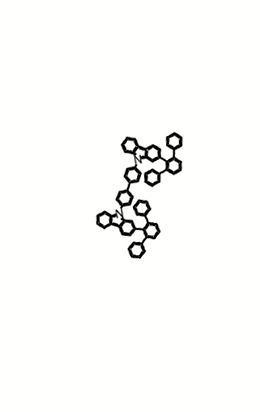 c1ccc(-c2cccc(-c3ccccc3)c2-c2ccc3c4ccccc4n(-c4ccc(-c5ccc(-n6c7ccccc7c7ccc(-c8c(-c9ccccc9)cccc8-c8ccccc8)cc76)cc5)cc4)c3c2)cc1